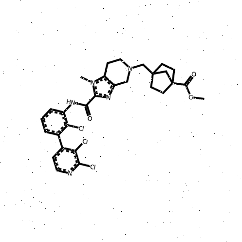 COC(=O)C12CCC(CN3CCc4c(nc(C(=O)Nc5cccc(-c6ccnc(Cl)c6Cl)c5Cl)n4C)C3)(CC1)C2